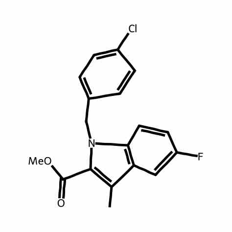 COC(=O)c1c(C)c2cc(F)ccc2n1Cc1ccc(Cl)cc1